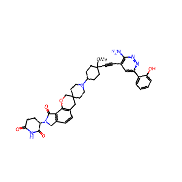 COC1(C#Cc2cc(-c3ccccc3O)nnc2N)CCC(N2CCC3(CC2)COc2c(ccc4c2C(=O)N(C2CCC(=O)NC2=O)C4)C3)CC1